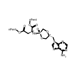 CCCCCOC(=O)C[C@H](NP1(=O)CO[C@H](Cn2cnc3c(N)ncnc32)CO1)C(=O)OCCCCC